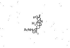 CC(=O)N[C@@H](C)COC1CCC(OC2=NC3=CC(F)=C(OC4CC4)CC3N2C)CC1